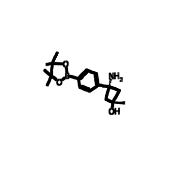 CC1(C)OB(c2ccc([C@]3(N)C[C@@](C)(O)C3)cc2)OC1(C)C